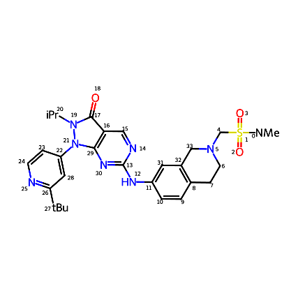 CNS(=O)(=O)CN1CCc2ccc(Nc3ncc4c(=O)n(C(C)C)n(-c5ccnc(C(C)(C)C)c5)c4n3)cc2C1